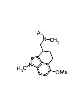 COc1ccc2c3c(cn2C)C(CN(C)C(C)=O)CCc13